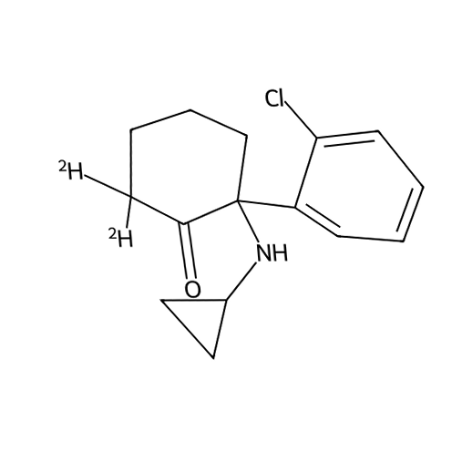 [2H]C1([2H])CCCC(NC2CC2)(c2ccccc2Cl)C1=O